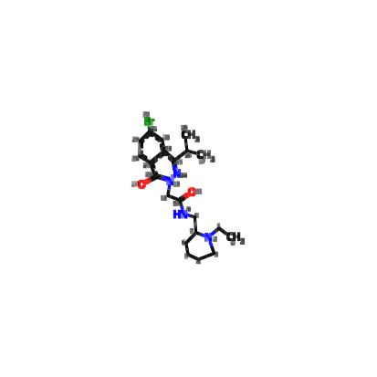 CCN1CCCCC1CNC(=O)Cn1nc(C(C)C)c2cc(Br)ccc2c1=O